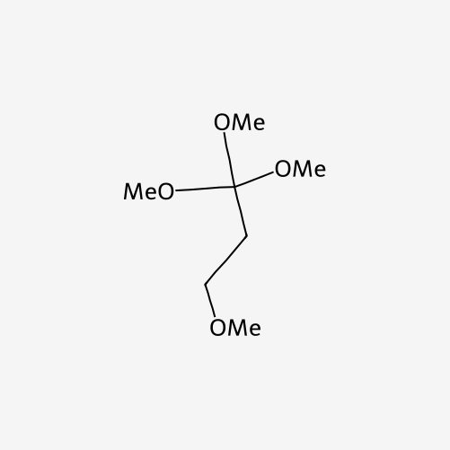 COCCC(OC)(OC)OC